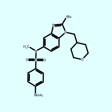 CC(=O)Nc1ccc(S(=O)(=O)N(C)c2ccc3c(c2)nc(C(C)(C)C)n3CC2CCOCC2)cc1